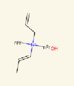 C=CC[N+](C=CC)(CCC)CCC.[OH-]